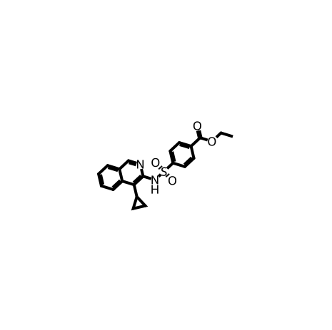 CCOC(=O)c1ccc(S(=O)(=O)Nc2ncc3ccccc3c2C2CC2)cc1